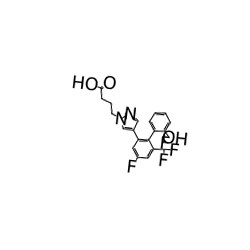 O=C(O)CCCn1cc(-c2cc(F)cc(C(F)(F)F)c2-c2ccccc2O)cn1